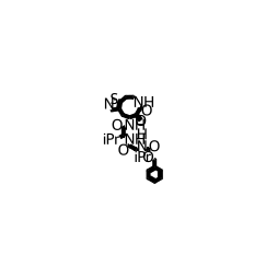 CC(C)C(NC(=O)OCc1ccccc1)C(=O)NC(C(=O)NC1Cc2cnsc2CCNC(=O)C1=O)C(C)C